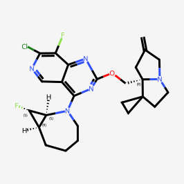 C=C1CN2CCC3(CC3)[C@@]2(COc2nc(N3CCCC[C@H]4[C@H](F)[C@H]43)c3cnc(Cl)c(F)c3n2)C1